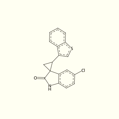 O=C1Nc2ccc(Cl)cc2C12CC2c1csc2ccccc12